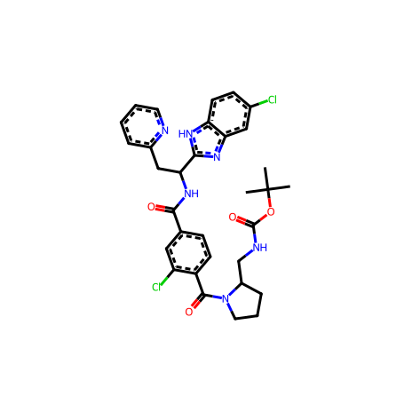 CC(C)(C)OC(=O)NCC1CCCN1C(=O)c1ccc(C(=O)NC(Cc2ccccn2)c2nc3cc(Cl)ccc3[nH]2)cc1Cl